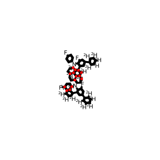 [2H]c1c([2H])c([2H])c(-c2cc(F)c(N(C3=CC=C4C=CC5=C(N(c6ccc(F)cc6)c6c(F)cc(-c7c([2H])c([2H])c([2H])c([2H])c7[2H])cc6-c6c([2H])c([2H])c([2H])c([2H])c6[2H])C=CC6=CC=C3C4C65)c3ccc(F)cc3)c(-c3c([2H])c([2H])c([2H])c([2H])c3[2H])c2)c([2H])c1[2H]